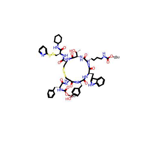 C[C@@H](O)[C@@H]1NC(=O)[C@H](CCCCNC(=O)OC(C)(C)C)NC(=O)[C@@H](Cc2c[nH]c3ccccc23)NC(=O)[C@H](Cc2ccc(O)cc2)NC(=O)[C@@H](NC(=O)[C@@H](Cc2ccccc2)NC(=O)OC(C)(C)C)CSSC[C@@H](C(=O)N[C@@H](CSSc2ccccn2)C(=O)NC2CCCCC2)NC1=O